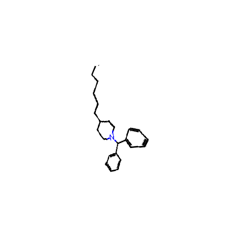 [CH2]CCCCCC1CCN(C(c2ccccc2)c2ccccc2)CC1